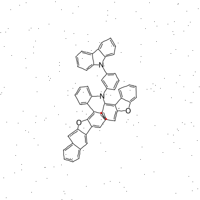 c1cc(N(c2ccccc2-c2cccc3c2oc2cc4ccccc4cc23)c2cccc3oc4ccccc4c23)cc(-n2c3ccccc3c3ccccc32)c1